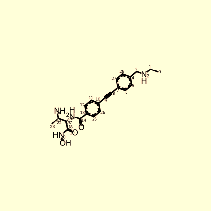 CCNCc1ccc(C#Cc2ccc(C(=O)N[C@H](C(=O)NO)[C@@H](C)N)cc2)cc1